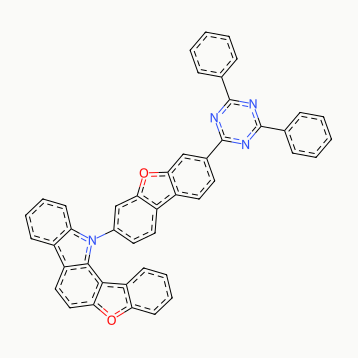 c1ccc(-c2nc(-c3ccccc3)nc(-c3ccc4c(c3)oc3cc(-n5c6ccccc6c6ccc7oc8ccccc8c7c65)ccc34)n2)cc1